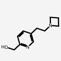 OCc1ccc(CCN2CCC2)cn1